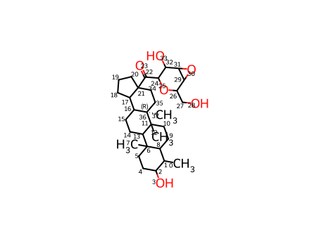 CC1C(O)CCC2(C)C1CCC1(C)C2CCC2C3CCCC3(C(=O)C3OC(CO)C4OC4C3O)CC[C@]21C